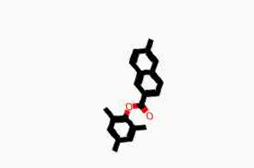 Cc1cc(C)c(OC(=O)c2ccc3cc(C)ccc3c2)c(C)c1